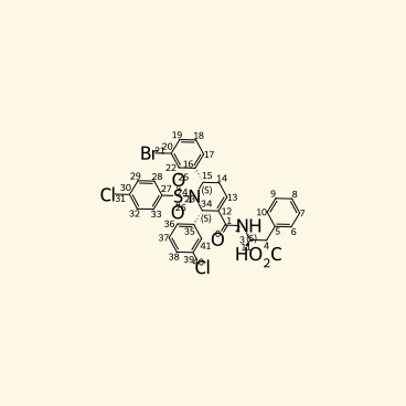 O=C(N[C@@H](Cc1ccccc1)C(=O)O)C1=CC[C@@H](c2cccc(Br)c2)N(S(=O)(=O)c2ccc(Cl)cc2)[C@H]1c1cccc(Cl)c1